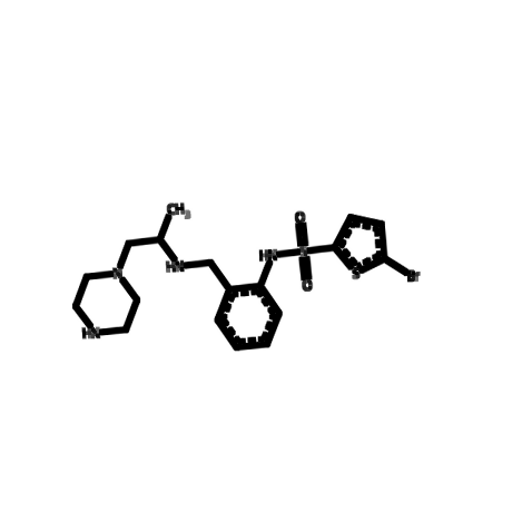 CC(CN1CCNCC1)NCc1ccccc1NS(=O)(=O)c1ccc(Br)s1